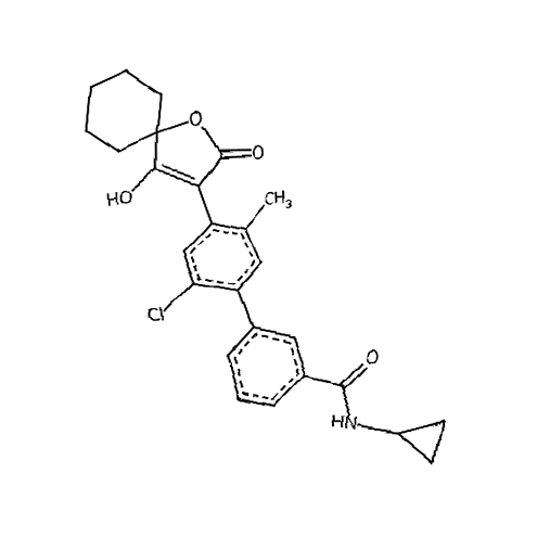 Cc1cc(-c2cccc(C(=O)NC3CC3)c2)c(Cl)cc1C1=C(O)C2(CCCCC2)OC1=O